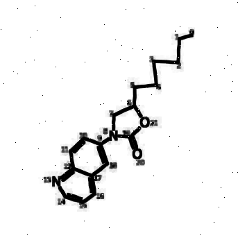 CCCCCCC1CN(c2ccc3ncccc3c2)C(=O)O1